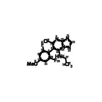 COc1cc(F)c(-c2c(Cl)nc3ncnn3c2NCC(F)(F)F)c(F)c1